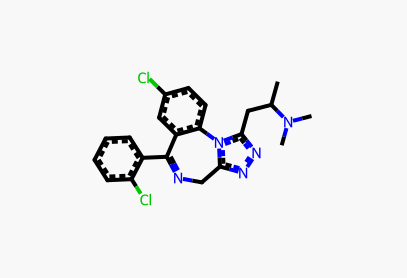 CC(Cc1nnc2n1-c1ccc(Cl)cc1C(c1ccccc1Cl)=NC2)N(C)C